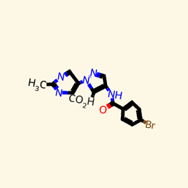 Cc1ncc(-n2ncc(NC(=O)c3ccc(Br)cc3)c2C(=O)O)cn1